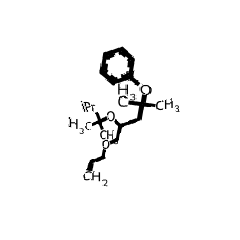 C=CCOCC(CC(C)(C)Oc1ccccc1)OC(C)(C)C(C)C